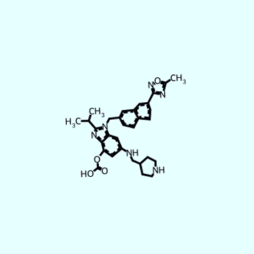 Cc1nc(-c2ccc3ccc(Cn4c(C(C)C)nc5c(OC(=O)O)cc(NCC6CCNCC6)cc54)cc3c2)no1